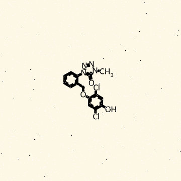 Cn1nnn(-c2ccccc2COc2cc(Cl)c(O)cc2Cl)c1=O